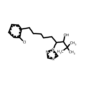 CC(C)(C)C(O)C(CCCCCc1ccccc1Cl)n1cncn1